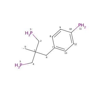 [CH2]C(CP)(CP)Cc1ccc(P)cc1